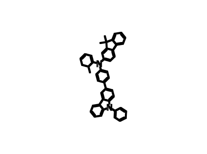 CC1CC=CC=C1N(c1ccc(-c2ccc3c(c2)c2ccccc2n3-c2ccccc2)cc1)c1ccc2c(c1)C(C)(C)c1ccccc1-2